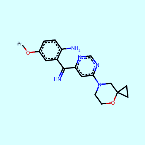 CC(C)Oc1ccc(N)c(C(=N)c2cc(N3CCOC4(CC4)C3)ncn2)c1